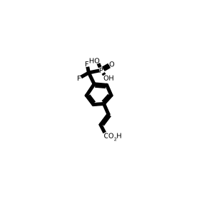 O=C(O)C=Cc1ccc(C(F)(F)P(=O)(O)O)cc1